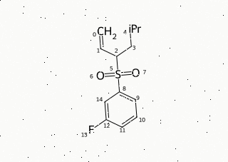 C=CC(CC(C)C)S(=O)(=O)c1cccc(F)c1